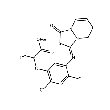 COC(=O)C(C)Oc1cc(N=c2sc(=O)n3n2CCC=C3)c(F)cc1Cl